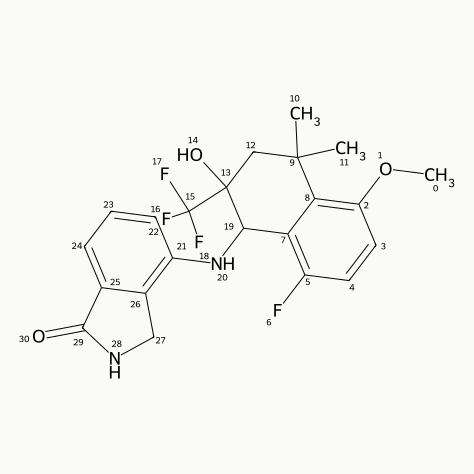 COc1ccc(F)c2c1C(C)(C)CC(O)(C(F)(F)F)C2Nc1cccc2c1CNC2=O